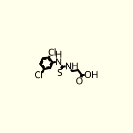 O=C(O)CCNC(=S)Nc1cc(Cl)ccc1Cl